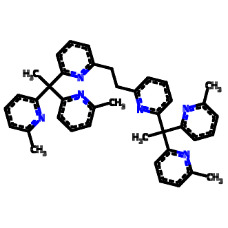 Cc1cccc(C(C)(c2cccc(C)n2)c2cccc(CCc3cccc(C(C)(c4cccc(C)n4)c4cccc(C)n4)n3)n2)n1